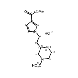 COC(=O)c1ccn(CC[C@@H]2CN(C(=O)O)CCN2)c1.Cl